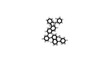 c1ccc(-n2c3ccccc3c3c4ccc(-c5ccccc5-c5ccc6c7c(cccc57)-c5ccccc5S6)cc4ccc32)cc1